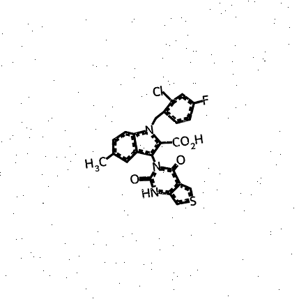 Cc1ccc2c(c1)c(-n1c(=O)[nH]c3cscc3c1=O)c(C(=O)O)n2Cc1ccc(F)cc1Cl